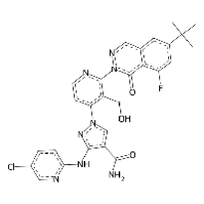 CC(C)(C)c1cc(F)c2c(=O)n(-c3nccc(-n4cc(C(N)=O)c(Nc5ccc(Cl)cn5)n4)c3CO)ncc2c1